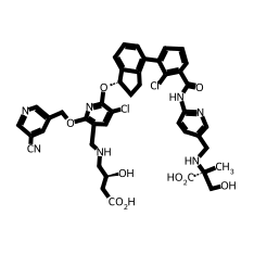 C[C@@](CO)(NCc1ccc(NC(=O)c2cccc(-c3cccc4c3CC[C@@H]4Oc3nc(OCc4cncc(C#N)c4)c(CNC[C@@H](O)CC(=O)O)cc3Cl)c2Cl)nc1)C(=O)O